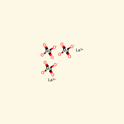 [La+3].[La+3].[O]=[Mo](=[O])([O-])[O-].[O]=[Mo](=[O])([O-])[O-].[O]=[Mo](=[O])([O-])[O-]